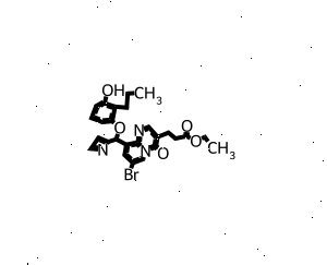 CCCc1c(O)cccc1OC(C1=CC=N1)c1cc(Br)cn2c(=O)c(CCC(=O)OCC)cnc12